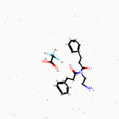 NCCN(C(=O)CCc1ccccc1)C(=O)CCc1ccccc1.O=C(O)C(F)(F)F